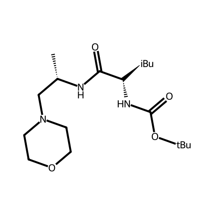 CC[C@H](C)[C@H](NC(=O)OC(C)(C)C)C(=O)N[C@@H](C)CN1CCOCC1